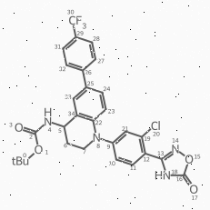 CC(C)(C)OC(=O)NC1CCN(c2ccc(-c3noc(=O)[nH]3)c(Cl)c2)c2ccc(-c3ccc(C(F)(F)F)cc3)cc21